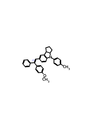 COc1ccc(/C(=C\c2ccc3c(c2)C2CCCC2N3c2ccc(C)cc2)c2ccccc2)cc1